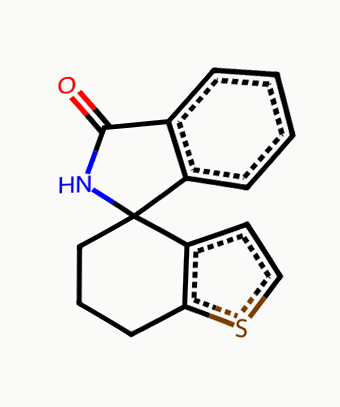 O=C1NC2(CCCc3sccc32)c2ccccc21